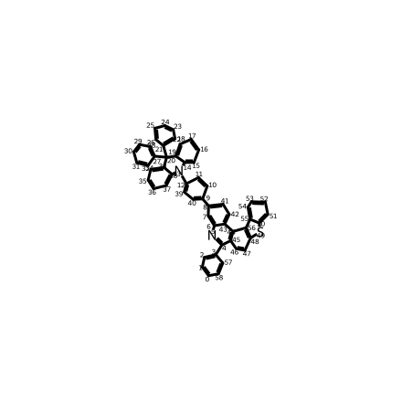 c1ccc(-c2nc3cc(-c4ccc(N5c6ccccc6C(c6ccccc6)(c6ccccc6)c6ccccc65)cc4)ccc3c3c2ccc2sc4ccccc4c23)cc1